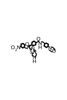 O=C(NCc1ccc(N2CCOCC2)cc1)c1ccc2c(=O)n(Cc3cccc([N+](=O)[O-])c3)c(=S)n(CN3CCNCC3)c2c1